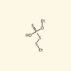 CCOP(O)(=S)SSCC